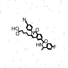 CC(NC(=O)c1ccc2c(=O)n(-c3ccc(C#N)cc3)c(CCCCC(=O)O)cc2c1)c1ccc(F)cc1